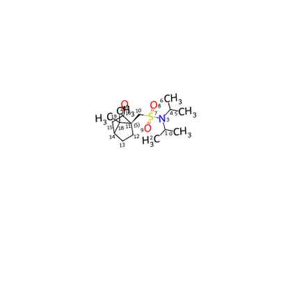 CC(C)N(C(C)C)S(=O)(=O)C[C@]12CCC(CC1=O)C2(C)C